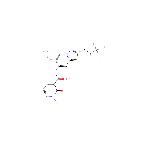 CCOc1cn2nc(CCC(C)(C)O)cc2cc1NC(=O)c1cccn(C)c1=O